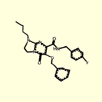 CCCCN1CCn2c1nc(C(=O)NCc1ccc(F)cc1)c(OCc1ccccc1)c2=O